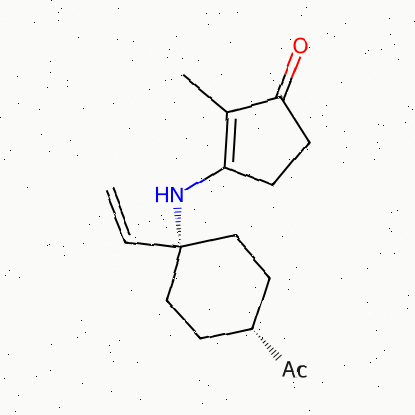 C=C[C@]1(NC2=C(C)C(=O)CC2)CC[C@@H](C(C)=O)CC1